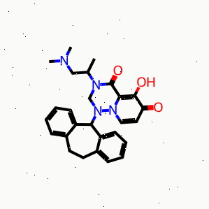 CC(CN(C)C)N1CN(C2c3ccccc3CCc3ccccc32)n2ccc(=O)c(O)c2C1=O